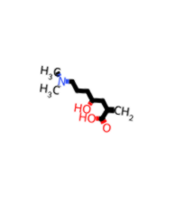 C=C(CC(O)CCCN(C)C)C(=O)O